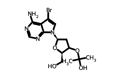 CC(C)(O)OC1C[C@H](n2cc(Br)c3c(N)ncnc32)O[C@@H]1CO